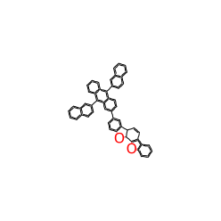 C1=CC2c3cc(-c4ccc5c(-c6ccc7ccccc7c6)c6ccccc6c(-c6ccc7ccccc7c6)c5c4)ccc3OC2c2oc3ccccc3c21